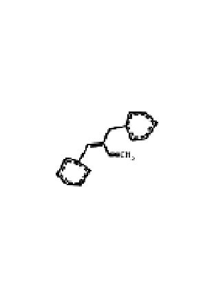 C=CC(=Cc1ccccc1)Cc1ccccc1